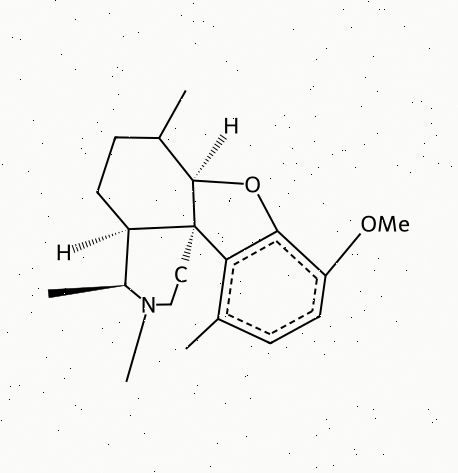 COc1ccc(C)c2c1O[C@@H]1C(C)CC[C@@H]3[C@H](C)N(C)CC[C@@]213